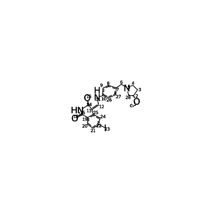 CO[C@@H]1CCN(Cc2ccc(N/C=C3\C(=O)NC(=O)c4ccc(I)cc43)cc2)C1